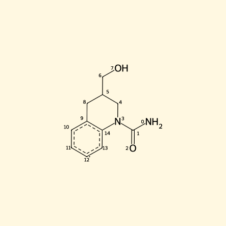 NC(=O)N1CC(CO)Cc2cc[c]cc21